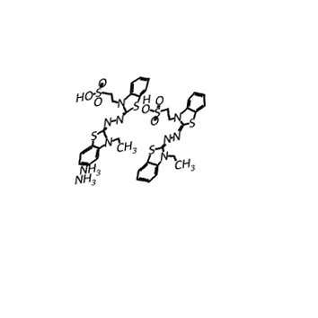 CCn1c(=NN=c2sc3ccccc3n2CCS(=O)(=O)O)sc2ccccc21.CCn1c(=NN=c2sc3ccccc3n2CCS(=O)(=O)O)sc2ccccc21.N.N